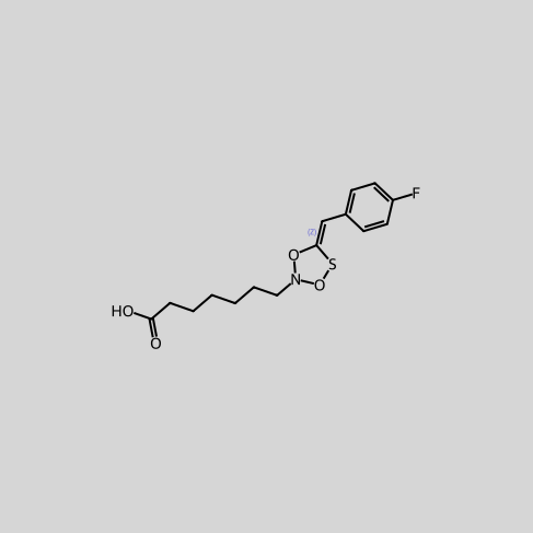 O=C(O)CCCCCCN1OS/C(=C\c2ccc(F)cc2)O1